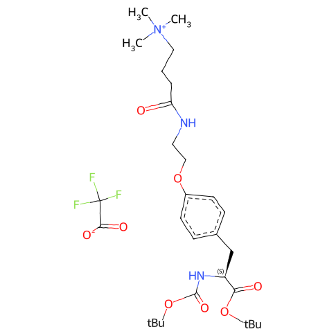 CC(C)(C)OC(=O)N[C@@H](Cc1ccc(OCCNC(=O)CCC[N+](C)(C)C)cc1)C(=O)OC(C)(C)C.O=C([O-])C(F)(F)F